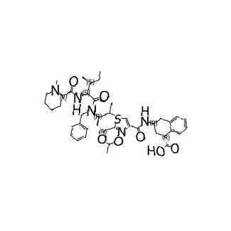 CC[C@H](C)[C@H](NC(=O)[C@H]1CCCCN1C)C(=O)N(Cc1ccccc1)[C@H](C[C@@H](OC(C)=O)c1nc(C(=O)N[C@H]2Cc3ccccc3[C@H](C(=O)O)C2)cs1)C(C)C